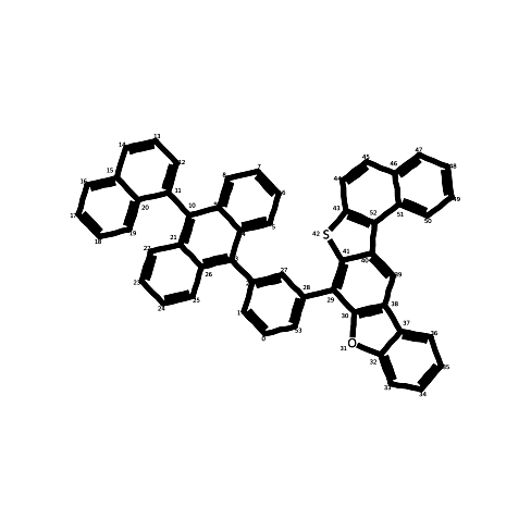 c1cc(-c2c3ccccc3c(-c3cccc4ccccc34)c3ccccc23)cc(-c2c3oc4ccccc4c3cc3c2sc2ccc4ccccc4c23)c1